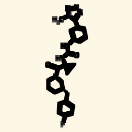 Cn1nnnc1-c1cccc(NC(=O)NC2(C(=O)N3CCC[C@@H](Cc4ccc(F)cc4)C3)CC2)c1